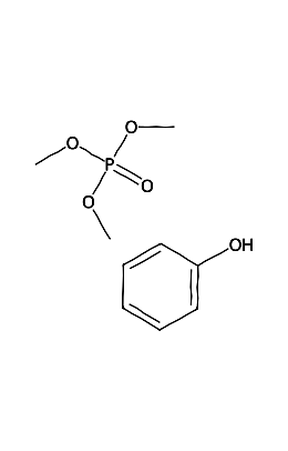 COP(=O)(OC)OC.Oc1ccccc1